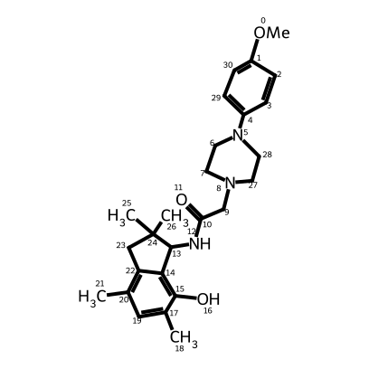 COc1ccc(N2CCN(CC(=O)NC3c4c(O)c(C)cc(C)c4CC3(C)C)CC2)cc1